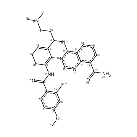 COc1ccc(C(=O)NC2=CC(C(CCN(C)C)Nc3ncnc4c(C(N)=O)cccc34)=CCC2)c(F)c1